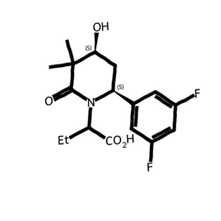 CCC(C(=O)O)N1C(=O)C(C)(C)[C@@H](O)C[C@H]1c1cc(F)cc(F)c1